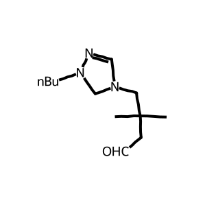 CCCCN1CN(CC(C)(C)CC=O)C=N1